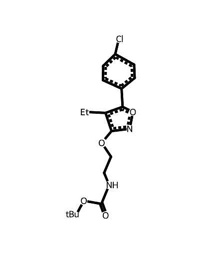 CCc1c(OCCNC(=O)OC(C)(C)C)noc1-c1ccc(Cl)cc1